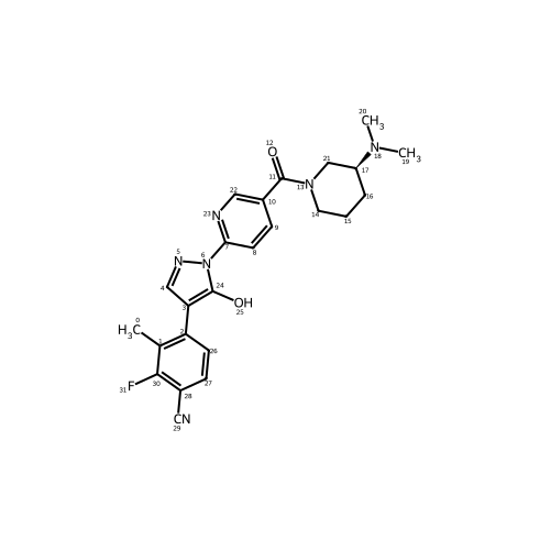 Cc1c(-c2cnn(-c3ccc(C(=O)N4CCC[C@H](N(C)C)C4)cn3)c2O)ccc(C#N)c1F